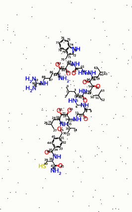 CC(C)C[C@H](NCN[C@@H](C)C(=O)CN[C@@H](CC(C)C)C(=O)C(=O)[C@H](CC(C)C)NOCc1ccc(C(=O)NC(CS)C(N)=O)cc1)C(=O)N[C@@H](CC(C)C)C(=O)C(=O)[C@H](CC(C)C)NNCC(=O)N[C@@H](Cc1c[nH]c2ccccc12)C(=O)C(=O)[C@@H](N)CCCNC(N)N